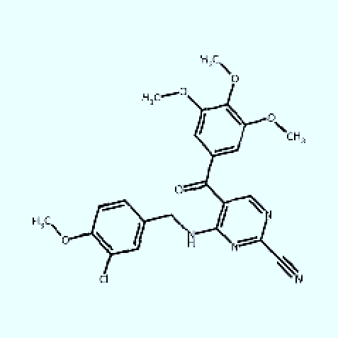 COc1ccc(CNc2nc(C#N)ncc2C(=O)c2cc(OC)c(OC)c(OC)c2)cc1Cl